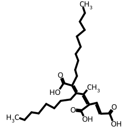 CCCCCCCCCCC(C(=O)O)=C(CCCCCCCC)C(C)=C(C=CC(=O)O)C(=O)O